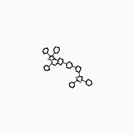 c1ccc(-c2cc(-c3cccc(-c4ccc(-c5ccc6c(c5)cc(-c5ccccc5)n5nc(-c7ccccc7)c(-c7ccccc7)c65)cc4)c3)nc(-c3ccccc3)n2)cc1